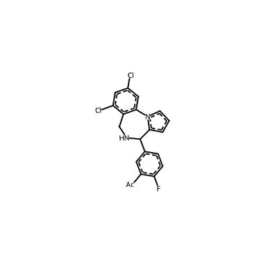 CC(=O)c1cc(C2NCc3c(Cl)cc(Cl)cc3-n3cccc32)ccc1F